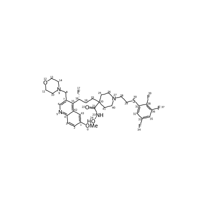 COc1ccc2ncc(CN3CCOCC3)c([C@H](F)CCC3(C(=O)NO)CCN(CCSc4cc(F)cc(F)c4F)CC3)c2c1